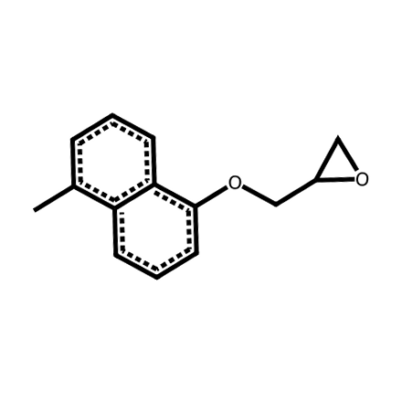 Cc1cccc2c(OCC3CO3)cccc12